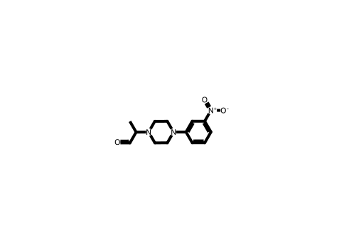 CC(C=O)N1CCN(c2cccc([N+](=O)[O-])c2)CC1